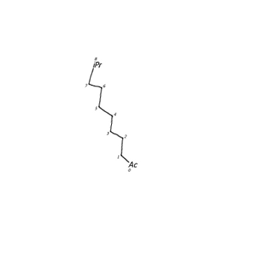 CC(=O)CCCCCCCC(C)C